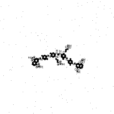 Cc1cc(N=Nc2cc(OCCCS(=O)(=O)O)c(NC(=O)Nc3cc(C)c(N=Nc4cc(C)c(N=Nc5cc(S(=O)(=O)O)c6cccc(S(=O)(=O)O)c6c5)cc4C)cc3OCCCS(=O)(=O)O)cc2C)c(C)cc1N=Nc1cc(S(=O)(=O)O)c2cccc(S(=O)(=O)O)c2c1